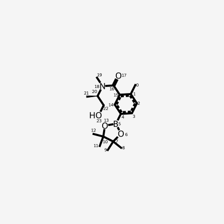 Cc1ccc(B2OC(C)(C)C(C)(C)O2)cc1C(=O)N(C)[C@H](C)CO